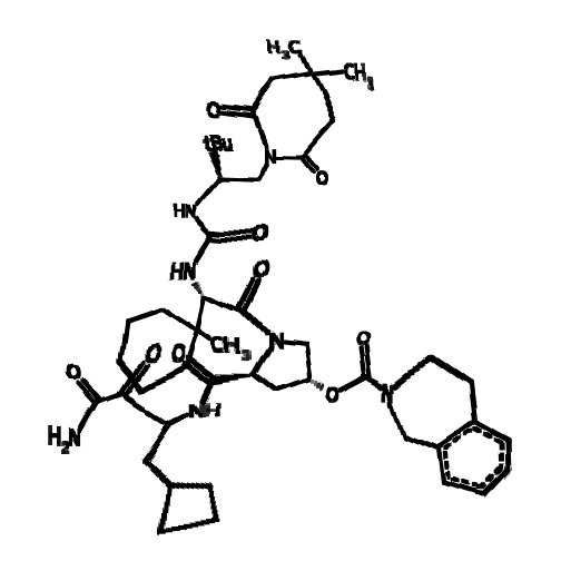 CC1(C)CC(=O)N(C[C@@H](NC(=O)N[C@H](C(=O)N2C[C@H](OC(=O)N3CCc4ccccc4C3)C[C@H]2C(=O)NC(CC2CCC2)C(=O)C(N)=O)C2(C)CCCCC2)C(C)(C)C)C(=O)C1